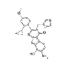 COc1ccc(-c2nc3sc4c(O)c(N)ccc4c3c(=O)n2Cc2cnco2)c(C2CC2)c1